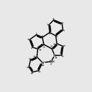 c1ccc2c(c1)c1cccc3c1c1c2ccn1[nH][n+]1ccccc31